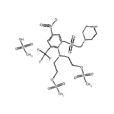 CS(=O)(=O)O.CS(=O)(=O)OCCN(CCOS(C)(=O)=O)c1c(C(F)(F)F)cc([N+](=O)[O-])cc1S(=O)(=O)CN1CCNCC1